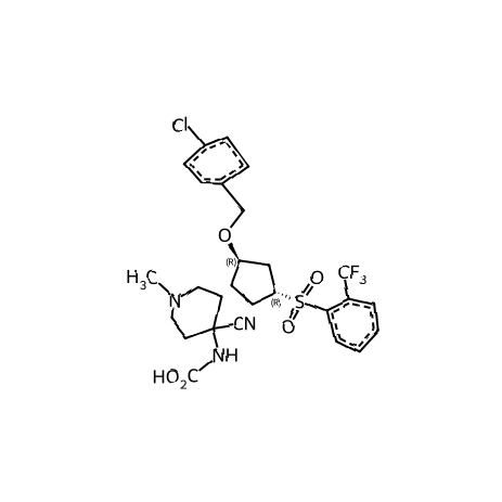 CN1CCC(C#N)(NC(=O)O)CC1.O=S(=O)(c1ccccc1C(F)(F)F)[C@@H]1CC[C@@H](OCc2ccc(Cl)cc2)C1